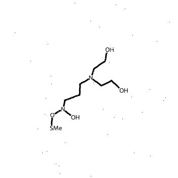 CSON(O)CCCN(CCO)CCO